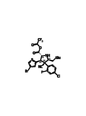 CC(C)(C)C[C@@H]1N[C@@H](C(=O)OC(=O)C(F)(F)F)[C@H](c2cc(Br)cs2)[C@@]1(C#N)c1ccc(Cl)cc1F